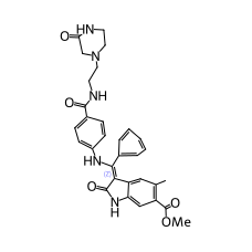 COC(=O)c1cc2c(cc1C)/C(=C(/Nc1ccc(C(=O)NCCN3CCNC(=O)C3)cc1)c1ccccc1)C(=O)N2